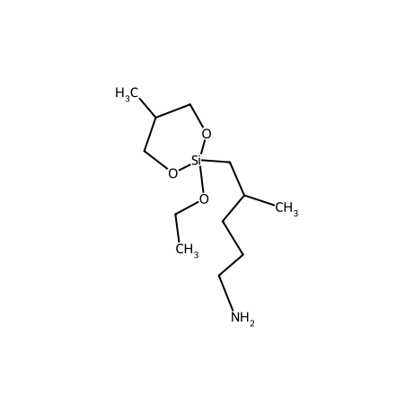 CCO[Si]1(CC(C)CCCN)OCC(C)CO1